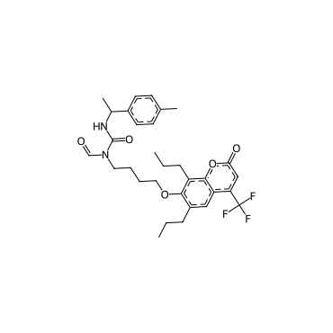 CCCc1cc2c(C(F)(F)F)cc(=O)oc2c(CCC)c1OCCCCN(C=O)C(=O)NC(C)c1ccc(C)cc1